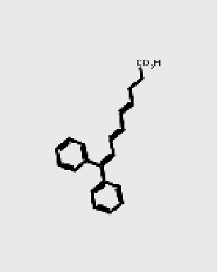 O=C(O)CCC=CC=CC=C(c1ccccc1)c1ccccc1